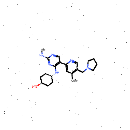 CCCCNc1ncc(-c2cc(OC)c(CN3CCCC3)cn2)c(N[C@H]2CC[C@H](O)CC2)n1